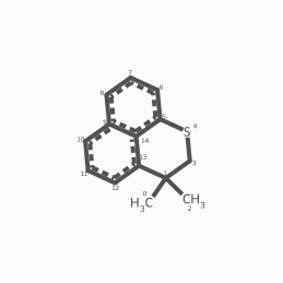 CC1(C)CSc2cccc3cccc1c23